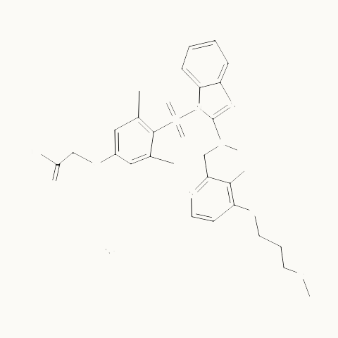 COCCCOc1ccnc(C[S+]([O-])c2nc3ccccc3n2S(=O)(=O)c2c(C)cc(OCC(=O)O)cc2C)c1C.[Na]